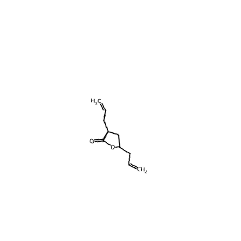 C=CCC1CC(CC=C)C(=O)O1